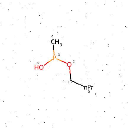 CCCCOP(C)O